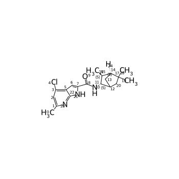 Cc1cc(Cl)c2cc(C(=O)N[C@H]3C4C[C@@H]([C@@H]3C)C(C)(C)C4)[nH]c2n1